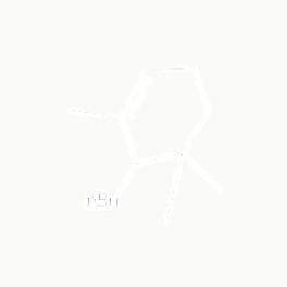 C[CH]CCC1C(C)=CCCC1(C)C